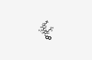 C[C@H](NC(=O)[C@H](N)NC(=O)[C@H](Cc1ccc2ccccc2c1)NC(=O)CCC(=O)O)C(=O)NCC(C)(C)C